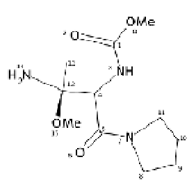 COC(=O)NC(C(=O)N1CCCC1)[C@@](C)(N)OC